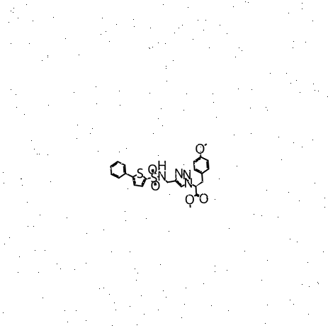 COC(=O)[C@H](Cc1ccc(OC)cc1)n1cc(CNS(=O)(=O)c2ccc(-c3ccccc3)s2)nn1